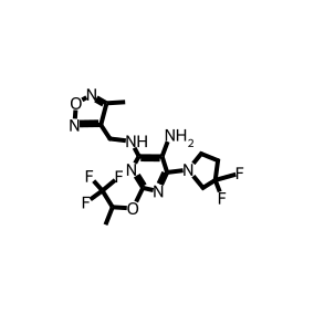 Cc1nonc1CNc1nc(OC(C)C(F)(F)F)nc(N2CCC(F)(F)C2)c1N